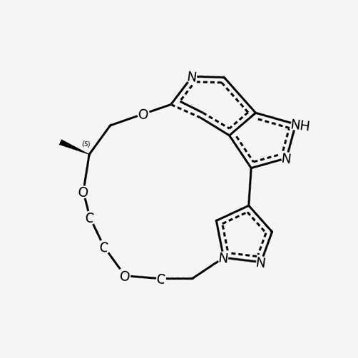 C[C@H]1COc2cc3c(n[nH]c3cn2)-c2cnn(c2)CCOCCO1